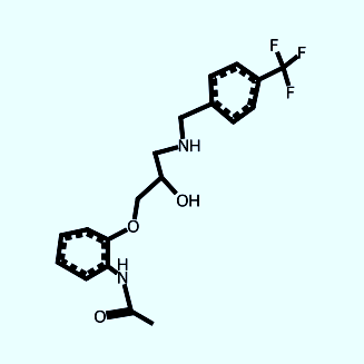 CC(=O)Nc1ccccc1OCC(O)CNCc1ccc(C(F)(F)F)cc1